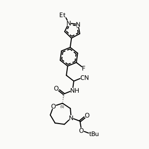 CCn1cc(-c2ccc(CC(C#N)NC(=O)[C@@H]3CN(C(=O)OC(C)(C)C)CCCO3)c(F)c2)cn1